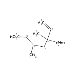 C=CC(C)(CCCCCC)CC(C)CC(=O)O